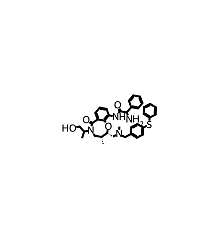 CC(CO)N1C[C@@H](C)[C@@H](CN(C)Cc2ccc(Sc3ccccc3)cc2)Oc2c(NC(=O)C(N)c3ccccc3)cccc2C1=O